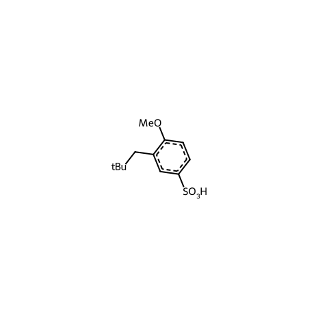 COc1ccc(S(=O)(=O)O)cc1CC(C)(C)C